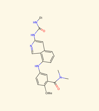 CCNC(=O)Nc1cc2cccc(Nc3ccc(OC)c(C(=O)N(C)C)c3)c2cn1